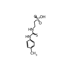 Cc1ccc(NC(=S)NCCS(=O)(=O)O)cc1